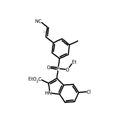 CCOC(=O)c1[nH]c2ccc(Cl)cc2c1P(=O)(OCC)c1cc(C)cc(/C=C/C#N)c1